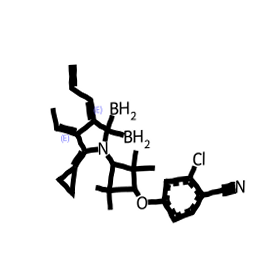 BC1(B)C(=C/C=C)/C(=C\C)C(=C2CC2)N1C1C(C)(C)C(Oc2ccc(C#N)c(Cl)c2)C1(C)C